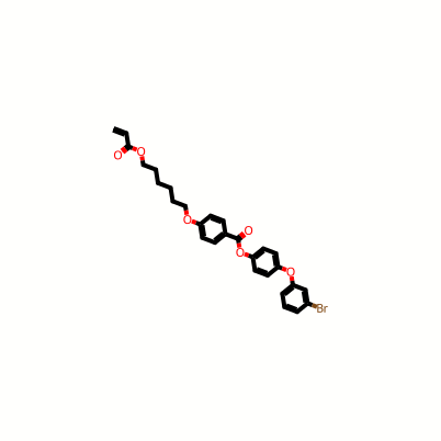 C=CC(=O)OCCCCCCOc1ccc(C(=O)Oc2ccc(Oc3cccc(Br)c3)cc2)cc1